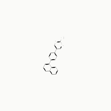 Cc1ncc(-c2ccc(-c3cccc4ccccc34)cc2)cn1